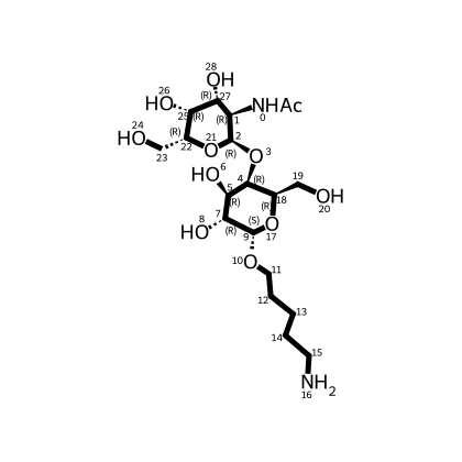 CC(=O)N[C@H]1[C@@H](O[C@@H]2[C@H](O)[C@@H](O)[C@@H](OCCCCCN)O[C@@H]2CO)O[C@H](CO)[C@H](O)[C@@H]1O